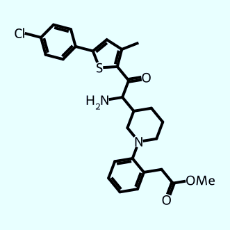 COC(=O)Cc1ccccc1N1CCCC(C(N)C(=O)c2sc(-c3ccc(Cl)cc3)cc2C)C1